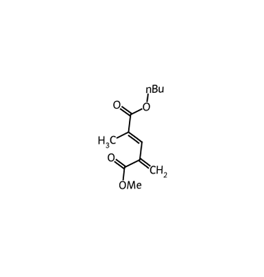 C=C(C=C(C)C(=O)OCCCC)C(=O)OC